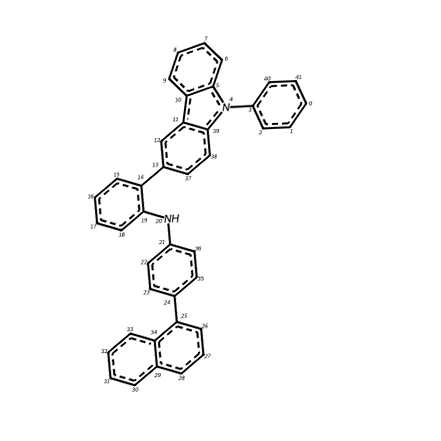 c1ccc(-n2c3ccccc3c3cc(-c4ccccc4Nc4ccc(-c5cccc6ccccc56)cc4)ccc32)cc1